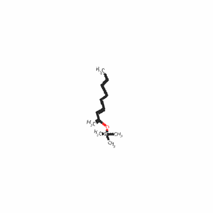 C=C(/C=C/CCCCC)O[Si](C)(C)C